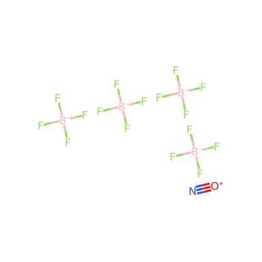 F[B-](F)(F)F.F[B-](F)(F)F.F[B-](F)(F)F.F[B-](F)(F)F.N#[O+]